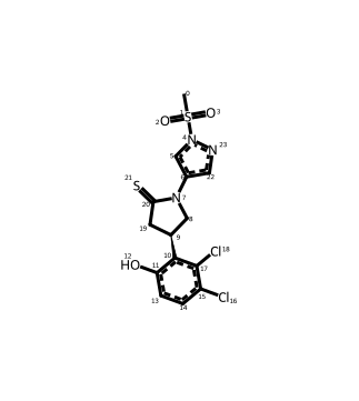 CS(=O)(=O)n1cc(N2C[C@@H](c3c(O)ccc(Cl)c3Cl)CC2=S)cn1